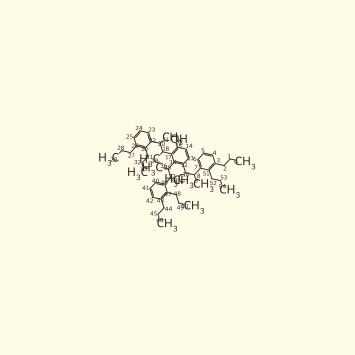 CCCc1cccc(C(C)C(C)c2ccc(O)c(C(C)C(C)c3cccc(CCC)c3CCC)c2C(C)C(C)c2cccc(CCC)c2CCC)c1CCC